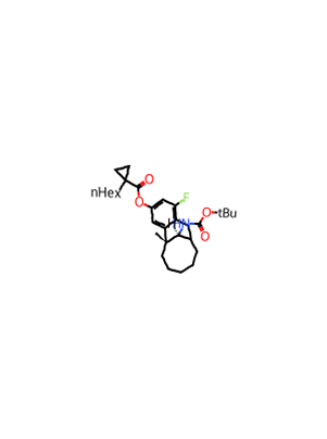 CCCCCCC1(C(=O)Oc2cc(F)c3c(c2)[C@@]2(C)CCCCCC(C3)[C@@H]2NC(=O)OC(C)(C)C)CC1